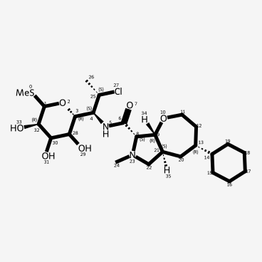 CSC1O[C@H]([C@H](NC(=O)[C@@H]2[C@@H]3OCC[C@H](C4CCCCC4)C[C@H]3CN2C)[C@H](C)Cl)C(O)C(O)[C@H]1O